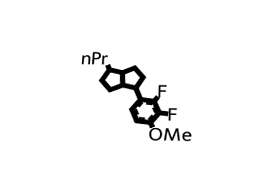 CCCC1CCC2C(c3ccc(OC)c(F)c3F)CCC12